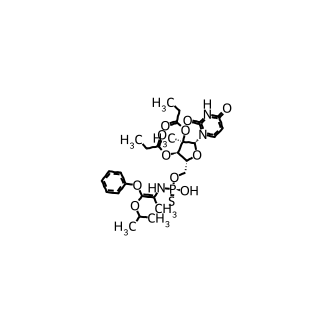 CCC(=O)O[C@@H]1[C@@H](CO[P@](O)(=S)NC(C)=C(Oc2ccccc2)OC(C)C)O[C@@H](n2ccc(=O)[nH]c2=O)[C@]1(C)OC(=O)CC